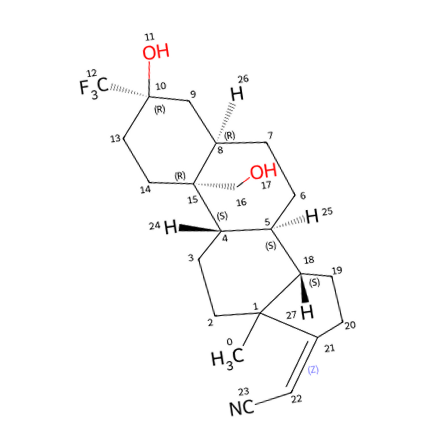 CC12CC[C@H]3[C@@H](CC[C@@H]4C[C@@](O)(C(F)(F)F)CC[C@@]43CO)[C@@H]1CC/C2=C/C#N